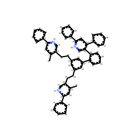 Cc1cc(-c2ccccc2)ncc1CCc1cc(CCc2cnc(-c3ccccc3)cc2C)cc(-c2ccccc2-c2cnc(-c3ccccc3)cc2-c2ccccc2)c1